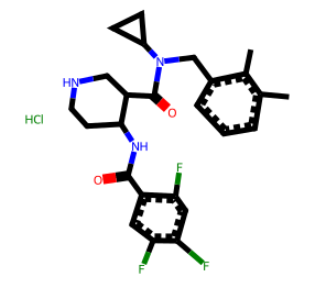 Cc1cccc(CN(C(=O)C2CNCCC2NC(=O)c2cc(F)c(F)cc2F)C2CC2)c1C.Cl